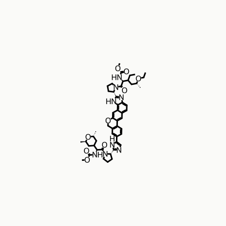 CCO[C@H](C)CC(CC)[C@H](NC(=O)OC)C(=O)N1CCC[C@H]1c1nc2ccc3cc4c(cc3c2[nH]1)OCc1cc(-c2cnc([C@@H]3CCCN3C(=O)[C@@H](NC(=O)OC)C3C[C@@H](C)O[C@H](C)C3)[nH]2)ccc1-4